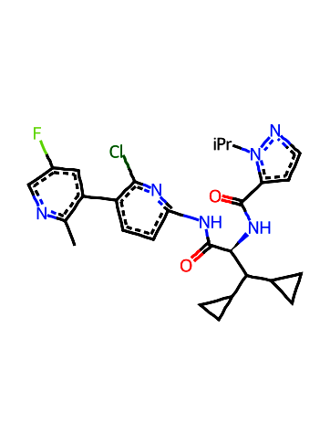 Cc1ncc(F)cc1-c1ccc(NC(=O)[C@@H](NC(=O)c2ccnn2C(C)C)C(C2CC2)C2CC2)nc1Cl